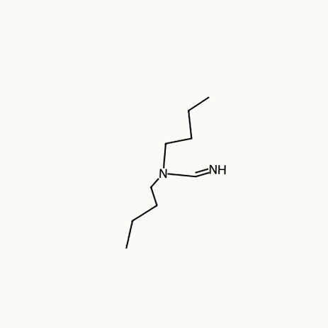 CCCCN(C=N)CCCC